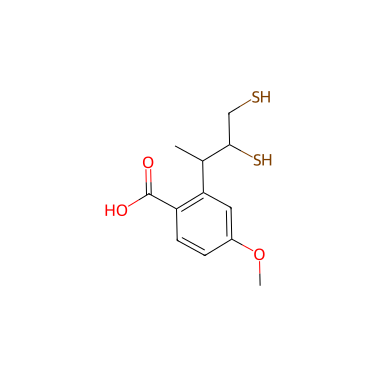 COc1ccc(C(=O)O)c(C(C)C(S)CS)c1